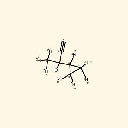 [2H]C([2H])([2H])C(O)(C#C)C1([2H])C([2H])([2H])C1([2H])[2H]